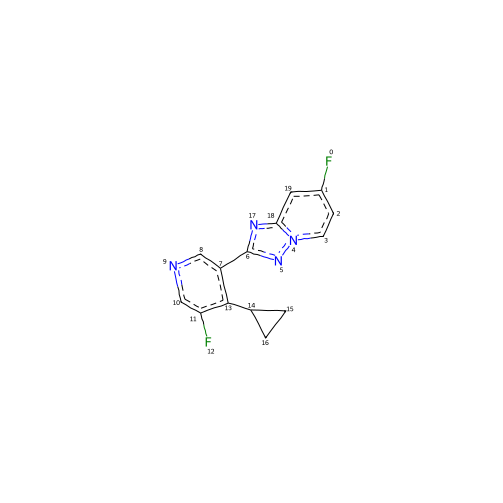 Fc1ccn2nc(-c3cncc(F)c3C3CC3)nc2c1